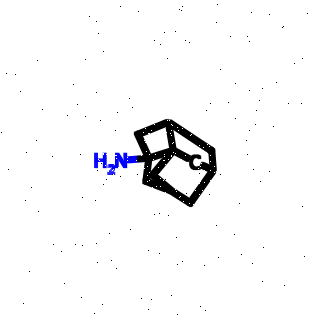 NC12CC3CC4CC(C1)C2(C4)C3